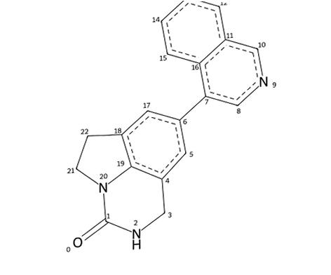 O=C1NCc2cc(-c3cncc4ccccc34)cc3c2N1CC3